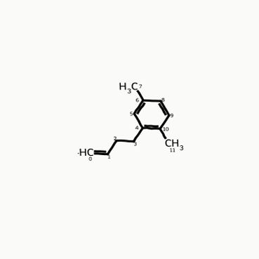 [CH]=CCCc1cc(C)ccc1C